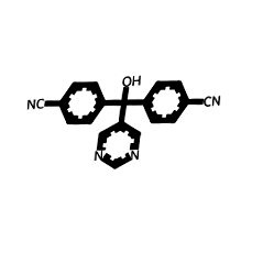 N#Cc1ccc(C(O)(c2ccc(C#N)cc2)c2cncnc2)cc1